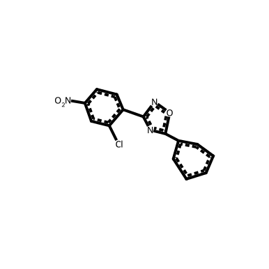 O=[N+]([O-])c1ccc(-c2noc(-c3ccccc3)n2)c(Cl)c1